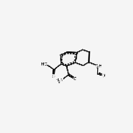 NC(=O)c1c(C(=O)O)ccc2c1CC(NC=O)CC2